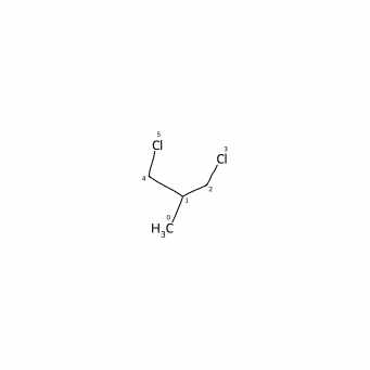 CC(CCl)CCl